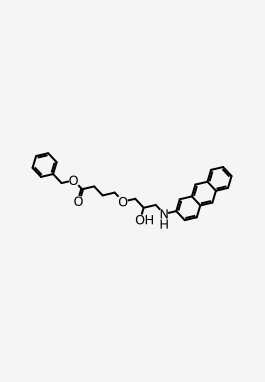 O=C(CCCOCC(O)CNc1ccc2cc3ccccc3cc2c1)OCc1ccccc1